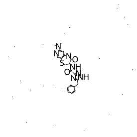 CN(C)c1cc2c(cn1)SC[C@H](NC(=O)c1n[nH]c(Cc3ccccc3)n1)C(=O)N2C